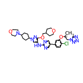 C[C@@H](Cn1cnnn1)Oc1cc(-c2cnc(Nc3cn(C4CCC(N5CCOCC5)CC4)nc3OCC3CCOCC3)nc2)ccc1Cl